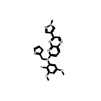 COc1cc(OC)c(F)c(N(CC2=NC=CC2)c2ccc3ncc(-c4cnn(C)c4)nc3n2)c1